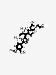 C=C1/C(=C(\C=C/C)c2noc(-c3ccc(OC(C)C)c(C#N)c3)n2)CC[C@@]12CC(=O)N(CCO)C2